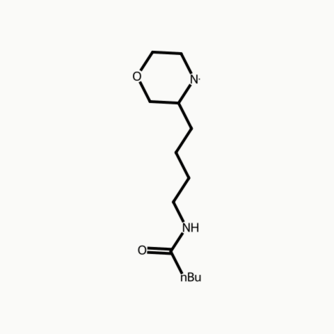 CCCCC(=O)NCCCCC1COCC[N]1